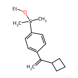 C=C(c1ccc([Si](C)(C)OCC)cc1)C1CCC1